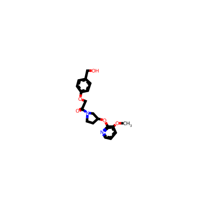 COc1cccnc1OC1CCN(C(=O)COc2ccc(CO)cc2)C1